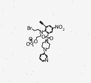 C#Cc1cc([N+](=O)[O-])cc(S(=O)(=O)N2CCN(c3cccnc3)CC2)c1N(CCBr)CCOS(C)(=O)=O